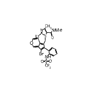 CCc1nc(C)c(C(=O)NC)n1Cc1c2ccocc-2c(Br)c1-c1ccccc1NS(=O)(=O)C(F)(F)F